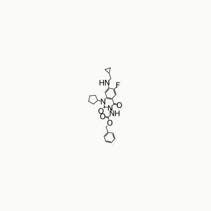 O=C(Nn1c(=O)c2cc(F)c(NCC3CC3)cc2n(C2CCCC2)c1=O)OCc1ccccc1